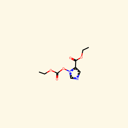 CCOC(=O)On1cncc1C(=O)OCC